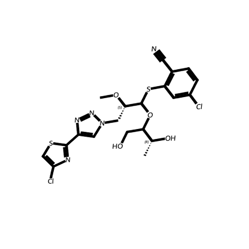 CO[C@@H](Cn1cc(-c2nc(Cl)cs2)nn1)C(OC(CO)[C@@H](C)O)Sc1cc(Cl)ccc1C#N